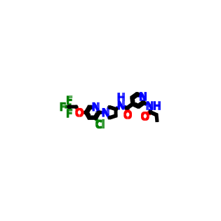 CCC(=O)Nc1cc(C(=O)NC2CCN(c3ncc(OCC(F)(F)F)cc3Cl)C2)ccn1